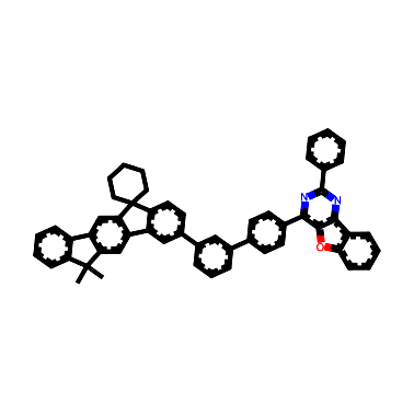 CC1(C)c2ccccc2-c2cc3c(cc21)-c1cc(-c2cccc(-c4ccc(-c5nc(-c6ccccc6)nc6c5oc5ccccc56)cc4)c2)ccc1C31CCCCC1